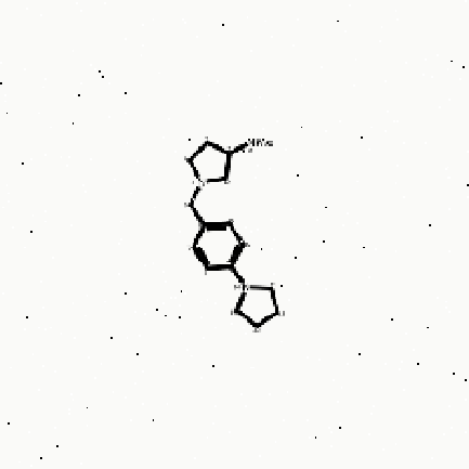 CNC1CCN(Cc2ccc(N3CCCC3)cc2)C1